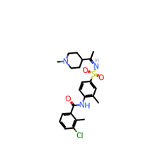 C/C(=N/S(=O)(=O)c1ccc(NC(=O)c2cccc(Cl)c2C)c(C)c1)C1CCN(C)CC1